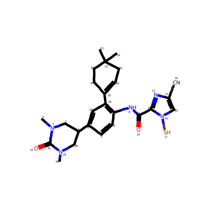 CN1CC(c2ccc(NC(=O)c3nc(C#N)cn3S)c(C3=CCC(C)(C)CC3)c2)CN(C)C1=O